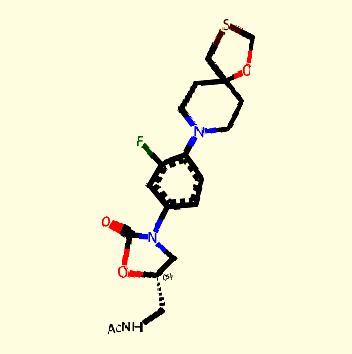 CC(=O)NC[C@H]1CN(c2ccc(N3CCC4(CC3)CSCO4)c(F)c2)C(=O)O1